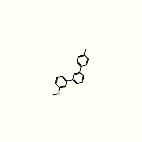 COc1cccc(-c2cccc(-c3ccc(C)cc3)c2)c1